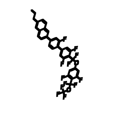 CCCc1ccc2cc(-c3ccc(-c4cc(F)c(C(F)(F)Oc5cc(F)c(C(F)(F)OC(F)(F)F)c(F)c5)c(F)c4)c(F)c3)ccc2c1